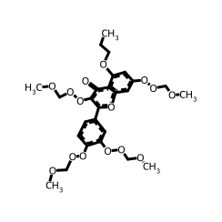 CCCOc1cc(OOCOC)cc2oc(-c3ccc(OOCOC)c(OOCOC)c3)c(OOCOC)c(=O)c12